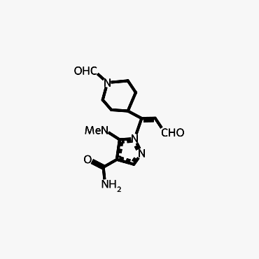 CNc1c(C(N)=O)cnn1/C(=C\C=O)C1CCN(C=O)CC1